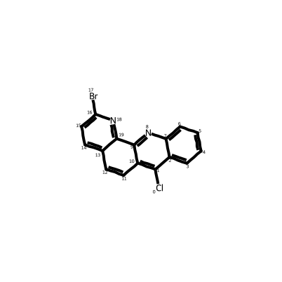 Clc1c2ccccc2nc2c1ccc1ccc(Br)nc12